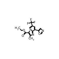 CCOC(=O)c1c(C)nc2c(-c3cnco3)cc(C(F)(F)F)cn12